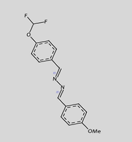 COc1ccc(/C=N/N=C/c2ccc(OC(F)F)cc2)cc1